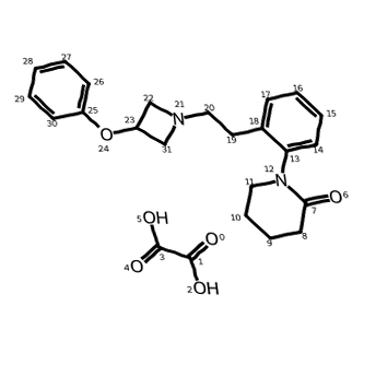 O=C(O)C(=O)O.O=C1CCCCN1c1ccccc1CCN1CC(Oc2ccccc2)C1